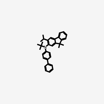 CC(C)c1cc2c(cc1N(c1ccc(-c3ccccc3)cc1)C(C)(C)C)C(C)(C)c1ccccc1-2